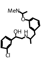 CNC(C)Oc1cccc(CC(C)NC[C@H](O)c2cccc(Cl)c2)c1